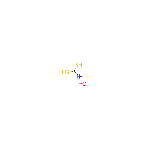 SC(S)N1COC1